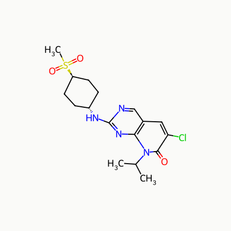 CC(C)n1c(=O)c(Cl)cc2cnc(N[C@H]3CC[C@H](S(C)(=O)=O)CC3)nc21